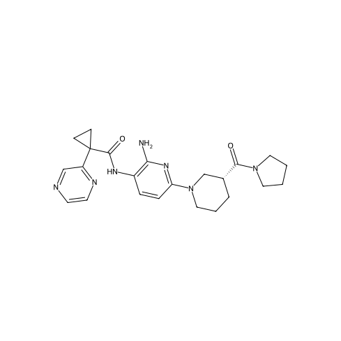 Nc1nc(N2CCC[C@@H](C(=O)N3CCCC3)C2)ccc1NC(=O)C1(c2cnccn2)CC1